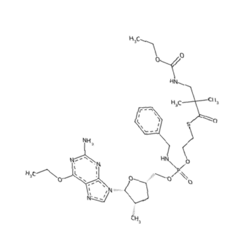 CCOC(=O)NCC(C)(C)C(=O)SCCOP(=O)(NCc1ccccc1)OC[C@@H]1C[C@H](C)[C@H](n2cnc3c(OCC)nc(N)nc32)O1